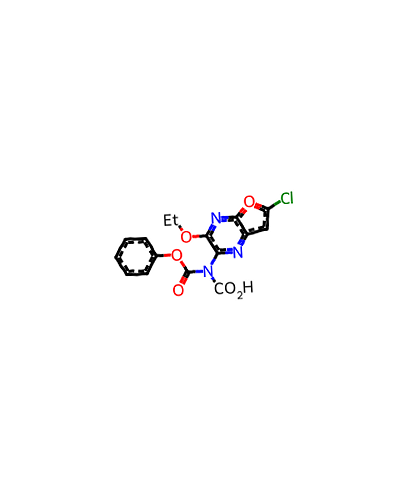 CCOc1nc2oc(Cl)cc2nc1N(C(=O)O)C(=O)Oc1ccccc1